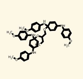 CCC(COC1(Nc2ccc(OC)cc2)C=CC(Nc2ccc(OC)cc2)=CC1)OC1(Nc2ccc(OC)cc2)C=CC(Nc2ccc(OC)cc2)=CC1